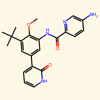 COc1c(NC(=O)c2ccc(N)cn2)cc(-c2ccc[nH]c2=O)cc1C(C)(C)C